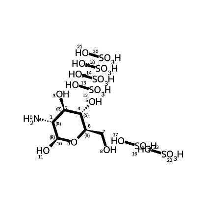 N[C@@H]1[C@@H](O)[C@H](O)[C@@H](CO)O[C@H]1O.O=S(=O)(O)O.O=S(=O)(O)O.O=S(=O)(O)O.O=S(=O)(O)O.O=S(=O)(O)O.O=S(=O)(O)O